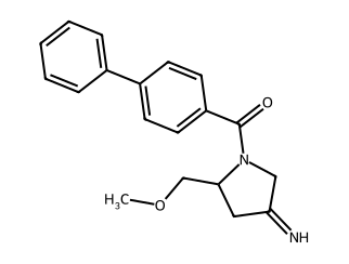 COCC1CC(=N)CN1C(=O)c1ccc(-c2ccccc2)cc1